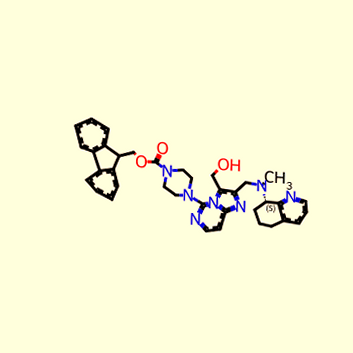 CN(Cc1nc2ccnc(N3CCN(C(=O)OCC4c5ccccc5-c5ccccc54)CC3)n2c1CO)[C@H]1CCCc2cccnc21